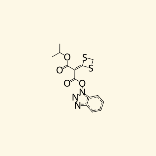 CC(C)OC(=O)C(C(=O)On1nnc2ccccc21)=C1SCS1